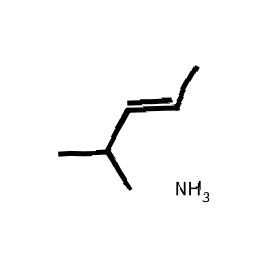 CC=CC(C)C.N